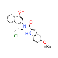 CCCCOc1ccc2[nH]c(C(=O)N3CC(CCl)c4c3cc(O)c3ccccc43)cc2c1